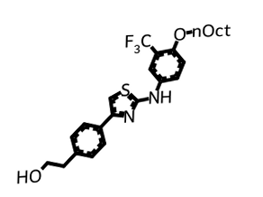 CCCCCCCCOc1ccc(Nc2nc(-c3ccc(CCO)cc3)cs2)cc1C(F)(F)F